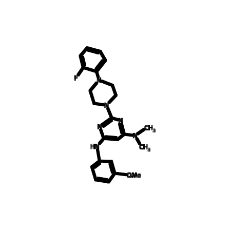 COc1cccc(Nc2cc(N(C)C)nc(N3CCN(c4ccccc4F)CC3)n2)c1